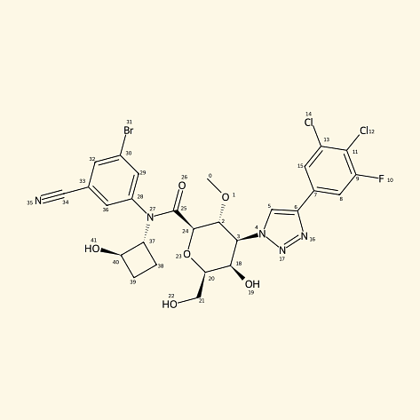 CO[C@@H]1[C@@H](n2cc(-c3cc(F)c(Cl)c(Cl)c3)nn2)[C@@H](O)[C@@H](CO)O[C@H]1C(=O)N(c1cc(Br)cc(C#N)c1)[C@@H]1CC[C@H]1O